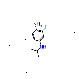 CC(C)Nc1ccc(N)c(F)c1